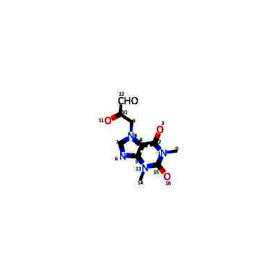 Cn1c(=O)c2c(ncn2CC(=O)C=O)n(C)c1=O